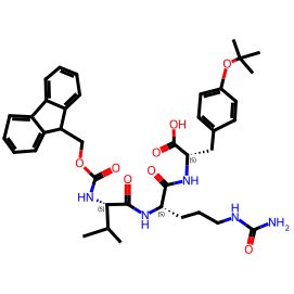 CC(C)[C@H](NC(=O)OCC1c2ccccc2-c2ccccc21)C(=O)N[C@@H](CCCNC(N)=O)C(=O)N[C@@H](Cc1ccc(OC(C)(C)C)cc1)C(=O)O